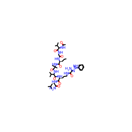 CCC[C@H](NC(=O)CNC(=O)C(NC(C)=O)C(C)C)C(=O)NC(C)(C)C(=O)NC(C(=O)N[C@@H](CCCNC(=O)/C(N)=N/N(N)c1ccccc1)C(=O)N[C@@H](CC(C)C)C(N)=O)C(C)C